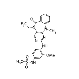 COc1cc(NS(C)(=O)=O)ccc1Nc1ncc2c(n1)N(C)c1ccccc1C(=O)N2CC(F)(F)F